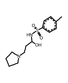 Cc1ccc(S(=O)(=O)NC(O)CCN2CCCC2)cc1